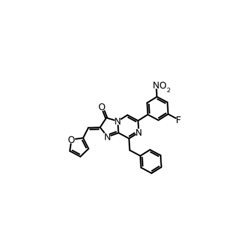 O=C1/C(=C/c2ccco2)N=C2C(Cc3ccccc3)=NC(c3cc(F)cc([N+](=O)[O-])c3)=CN12